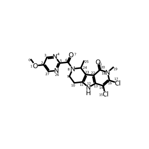 COc1cnc(C(=O)N2CCc3[nH]c4c(Cl)c(Cl)n(C)c(=O)c4c3C2C)nc1